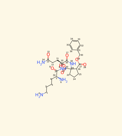 NCCCC[C@H](N)C(=O)N[C@@H](CCC(N)=O)C(=O)NC1(C(=O)O)CCCC1C(=O)OCc1ccccc1